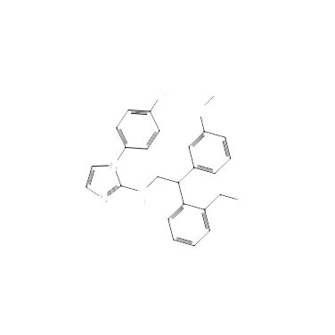 COc1cccc(C(CBc2nccn2-c2ccc(Br)cc2)c2ccccc2CBr)c1